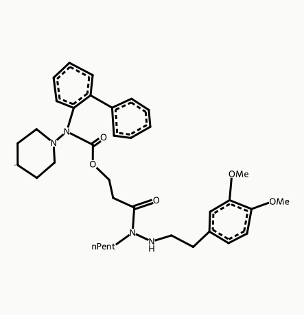 CCCCCN(NCCc1ccc(OC)c(OC)c1)C(=O)CCOC(=O)N(c1ccccc1-c1ccccc1)N1CC[CH]CC1